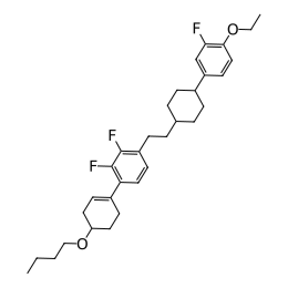 CCCCOC1CC=C(c2ccc(CCC3CCC(c4ccc(OCC)c(F)c4)CC3)c(F)c2F)CC1